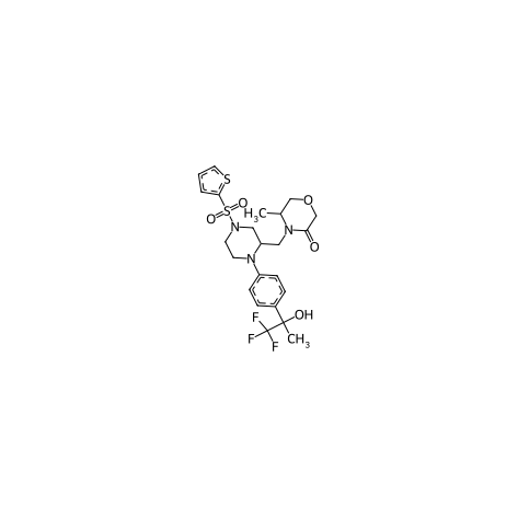 CC1COCC(=O)N1CC1CN(S(=O)(=O)c2cccs2)CCN1c1ccc(C(C)(O)C(F)(F)F)cc1